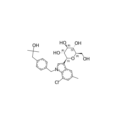 Cc1cc(Cl)c2c(c1)c([C@@H]1O[C@H](CO)[C@@H](O)[C@H](O)[C@H]1O)cn2Cc1ccc(CC(C)(C)O)cc1